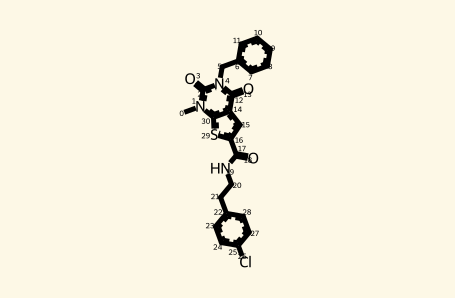 Cn1c(=O)n(Cc2ccccc2)c(=O)c2cc(C(=O)NCCc3ccc(Cl)cc3)sc21